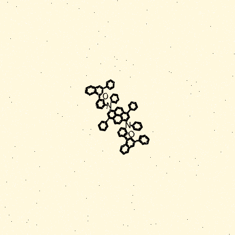 c1ccc(-c2cc(N(c3ccccc3)c3cccc4c3oc3c(-c5ccccc5)cc5ccccc5c34)c3ccc4c(-c5ccccc5)cc(N(c5ccccc5)c5cccc6c5oc5c(-c7ccccc7)cc7ccccc7c56)c5ccc2c3c45)cc1